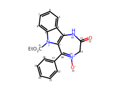 CCOC(=O)n1c2c(c3ccccc31)NC(=O)C[N+]([O-])=C2c1ccccc1